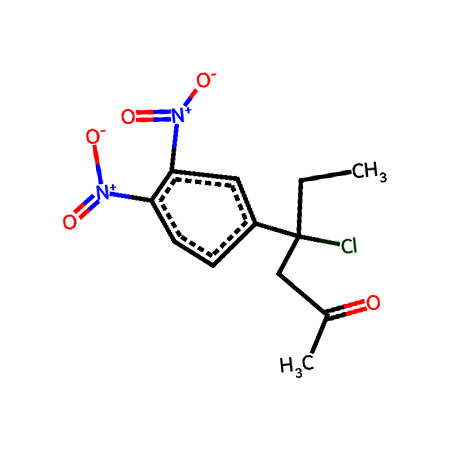 CCC(Cl)(CC(C)=O)c1ccc([N+](=O)[O-])c([N+](=O)[O-])c1